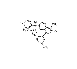 Cc1cccc(-c2cc(=O)n(C)c3ncc([C@](N)(c4ccc(I)cc4)c4cncn4C)cc23)c1